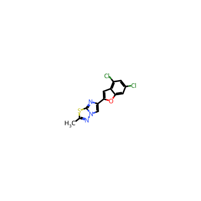 Cc1nn2cc(-c3cc4c(Cl)cc(Cl)cc4o3)nc2s1